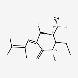 C=C1/C(=C\C(C)=C(C)C)C(I)[C@@H]([C@H](O)I)C(CC)[C@@H]1C